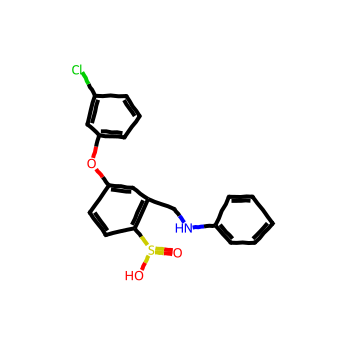 O=S(O)c1ccc(Oc2cccc(Cl)c2)cc1CNc1ccccc1